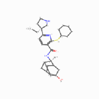 O=C(O)C[C@]1(c2ccc(C(=O)N[C@H]3C4CC5CC3C[C@@](O)(C5)C4)c(SC3CCCCC3)n2)CCNC1